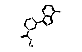 CC(C)(C)OC(=O)N1CCSC(c2ncc3c(Cl)nccn23)C1